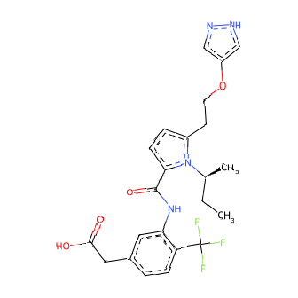 CC[C@H](C)n1c(CCOc2cn[nH]c2)ccc1C(=O)Nc1cc(CC(=O)O)ccc1C(F)(F)F